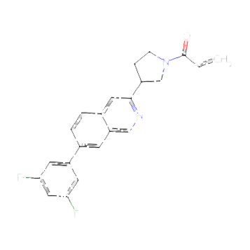 C=CC(=O)N1CCC(c2cc3ccc(-c4cc(F)cc(F)c4)cc3cn2)C1